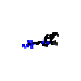 C/C=C1/N(CCCNC(=N)N)C=CN1C(C)CCC